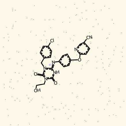 N#Cc1ccc(Oc2ccc(/N=c3\[nH]c(=O)n(CCO)c(=O)n3Cc3ccc(Cl)cc3)cc2)nc1